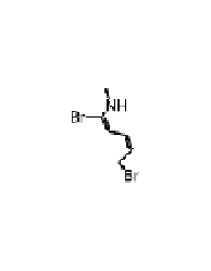 CN/C(Br)=C\C=C/CBr